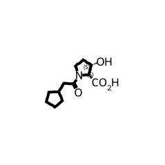 O=C(O)[C@@H]1[C@@H](O)CCN1C(=O)CC1CCCC1